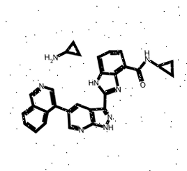 NC1CC1.O=C(NC1CC1)c1cccc2[nH]c(-c3n[nH]c4ncc(-c5cncc6ccccc56)cc34)nc12